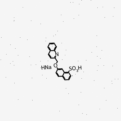 O=S(=O)(O)c1[c]ccc2ccc(OCc3ccc4ccccc4n3)cc12.[NaH]